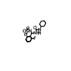 O=C(NC1=NS(=O)(=O)Oc2cccc(F)c21)NC1CCCCC1